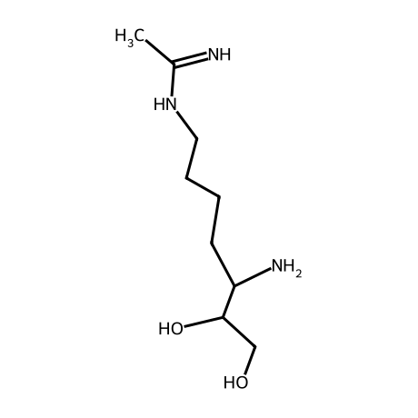 CC(=N)NCCCCC(N)C(O)CO